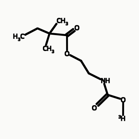 [3H]OC(=O)NCCOC(=O)C(C)(C)CC